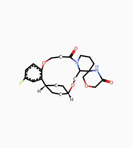 O=C1COCC2(CCCN3C(=O)CCOc4ccc(F)cc4[C@H]4CC[C@H](CC4)OCC32)N1